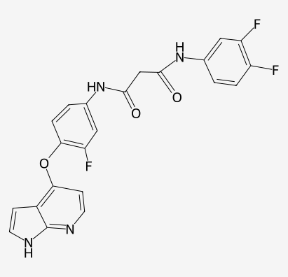 O=C(CC(=O)Nc1ccc(Oc2ccnc3[nH]ccc23)c(F)c1)Nc1ccc(F)c(F)c1